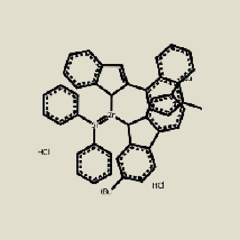 Cc1ccc(C2=Cc3ccccc3[CH]2[Zr]([CH]2c3cc(C(C)(C)C)ccc3-c3ccc(C(C)(C)C)cc32)=[Si](c2ccccc2)c2ccccc2)c2ccccc12.Cl.Cl